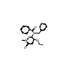 CCOc1cc(=O)n(C)nc1N(Cc1ccccc1)C(=O)c1ccccc1